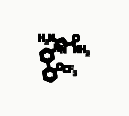 NC(=O)c1cc(N)n(-c2cccc(-c3ccccc3OC(F)(F)F)c2)n1